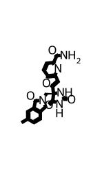 Cc1ccc2c(c1)C(=O)N(C[C@@]1(c3cc4nc(C(N)=O)ccc4o3)NC(=O)NC1=O)C2